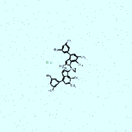 CC1=Cc2c(-c3cc(C(C)(C)C)cc(C(C)(C)C)c3)cc(C)c(C)c2[CH]1[Zr+2]1([CH]2C(C)=Cc3c(-c4cc(C(C)(C)C)cc(C(C)(C)C)c4)cc(C)c(C)c32)[CH2][CH2]1.[Cl-].[Cl-]